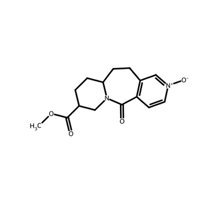 COC(=O)C1CCC2CCc3c[n+]([O-])ccc3C(=O)N2C1